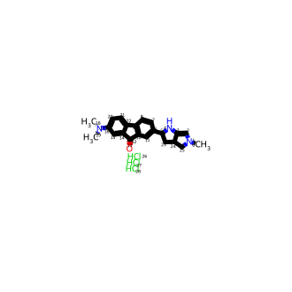 CN1C=C2NC(c3ccc4c(c3)C(=O)c3cc(N(C)C)ccc3-4)CC2C1.Cl.Cl.Cl